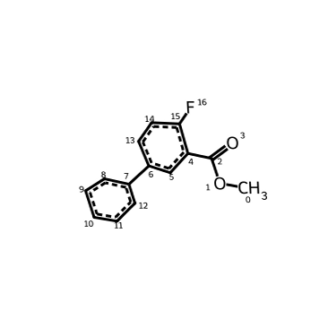 COC(=O)c1cc(-c2ccccc2)ccc1F